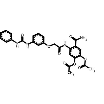 CC(=O)Oc1cc(NC(=O)COc2cccc(NC(=O)Nc3ccccc3)c2)c(C(N)=O)cc1OC(C)=O